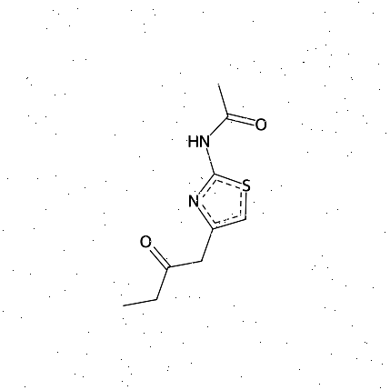 CCC(=O)Cc1csc(NC(C)=O)n1